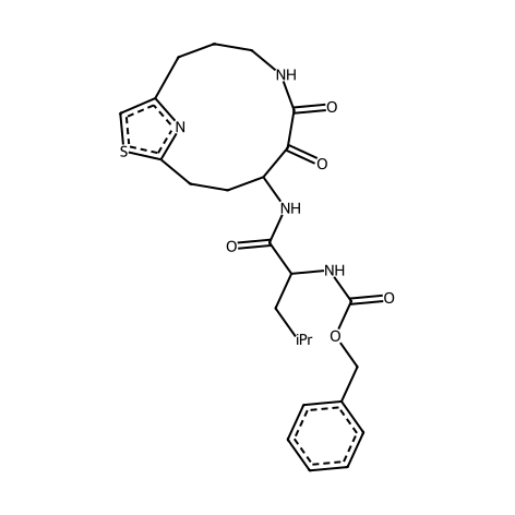 CC(C)CC(NC(=O)OCc1ccccc1)C(=O)NC1CCc2nc(cs2)CCCNC(=O)C1=O